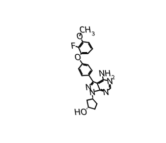 COc1cccc(Oc2ccc(-c3nn([C@H]4CC[C@H](O)C4)c4ncnc(N)c34)cc2)c1F